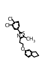 Cc1sc(-c2ccc(Cl)c(Cl)c2)nc1CCOc1ccc2c(c1)CCC2